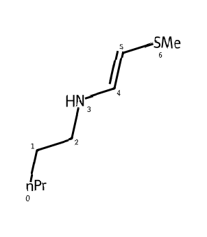 CCCCCNC=CSC